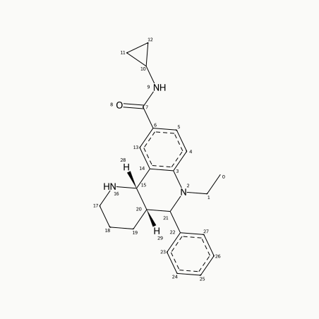 CCN1c2ccc(C(=O)NC3CC3)cc2[C@H]2NCCC[C@H]2C1c1ccccc1